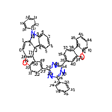 C1=CC2C(c3ccccc3N2c2ccccc2)c2c1oc1ccc(-c3nc(-c4ccccc4)nc(-c4ccc5c(c4)oc4ccccc45)n3)cc21